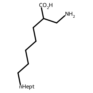 CCCCCCCCCCCCC(CN)C(=O)O